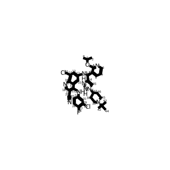 CC(C)Oc1ncccc1[C@H](Nc1cc(Cl)c2ncc(C#N)c(Nc3ccc(F)c(Cl)c3)c2c1)C1=CN(C2CCN(C(C)(C)C)CC2)NN1